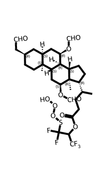 CC(CCC(=O)OC(C(F)(F)F)C(F)(F)SOOO)[C@H]1CC[C@H]2[C@@H]3[C@H](OC=O)C[C@@H]4C[C@H](CC=O)CC[C@]4(C)[C@H]3C[C@H](OC=O)[C@]12C